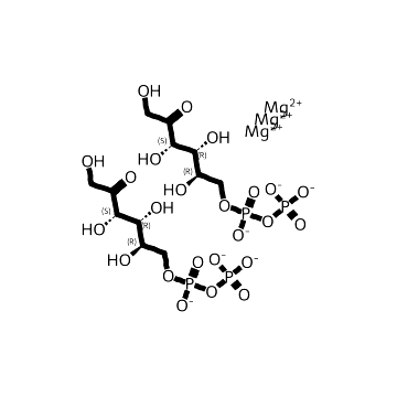 O=C(CO)[C@@H](O)[C@H](O)[C@H](O)COP(=O)([O-])OP(=O)([O-])[O-].O=C(CO)[C@@H](O)[C@H](O)[C@H](O)COP(=O)([O-])OP(=O)([O-])[O-].[Mg+2].[Mg+2].[Mg+2]